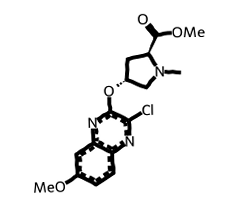 COC(=O)[C@@H]1C[C@@H](Oc2nc3cc(OC)ccc3nc2Cl)CN1C